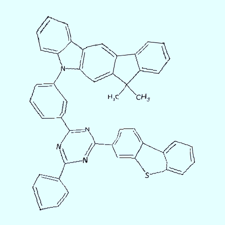 CC1(C)c2ccccc2-c2cc3c4ccccc4n(-c4cccc(-c5nc(-c6ccccc6)nc(-c6ccc7c(c6)sc6ccccc67)n5)c4)c3cc21